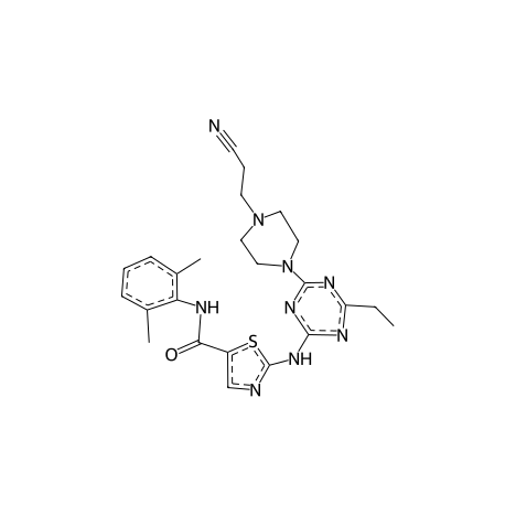 CCc1nc(Nc2ncc(C(=O)Nc3c(C)cccc3C)s2)nc(N2CCN(CCC#N)CC2)n1